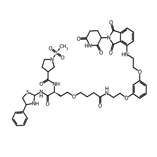 CS(=O)(=O)N1CCC(C(=O)N[C@@H](CCOCCCC(=O)NCCOc2cccc(OCCNc3cccc4c3C(=O)N(C3CCC(=O)NC3=O)C4=O)c2)C(=O)NC2NC(c3ccccc3)CS2)C1